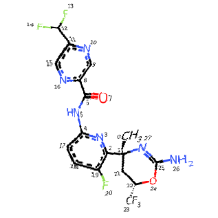 C[C@]1(c2nc(NC(=O)c3cnc(C(F)F)cn3)ccc2F)C[C@@H](C(F)(F)F)OC(N)=N1